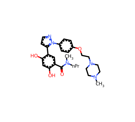 CCCN(C)C(=O)c1cc(-c2ccnn2-c2ccc(OCCN3CCN(C)CC3)cc2)c(O)cc1O